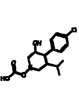 CC(C)C1CN(OC(=O)O)CC(O)C1c1ccc(Cl)cc1